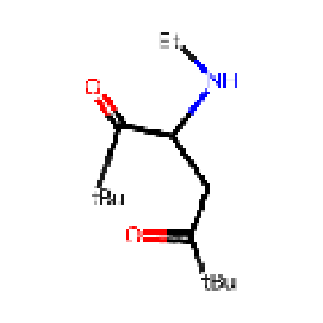 CCNC(CC(=O)C(C)(C)C)C(=O)C(C)(C)C